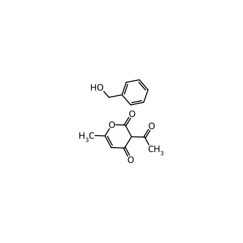 CC(=O)C1C(=O)C=C(C)OC1=O.OCc1ccccc1